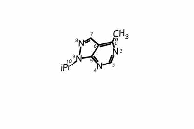 Cc1ncnc2c1cnn2C(C)C